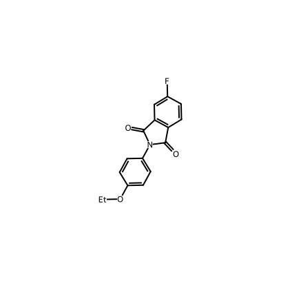 CCOc1ccc(N2C(=O)c3ccc(F)cc3C2=O)cc1